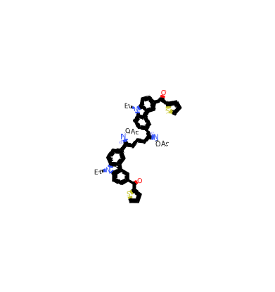 CCn1c2ccc(C(=O)c3cccs3)cc2c2cc(/C(CCC/C(=N\OC(C)=O)c3ccc4c(c3)c3cc(C(=O)c5cccs5)ccc3n4CC)=N/OC(C)=O)ccc21